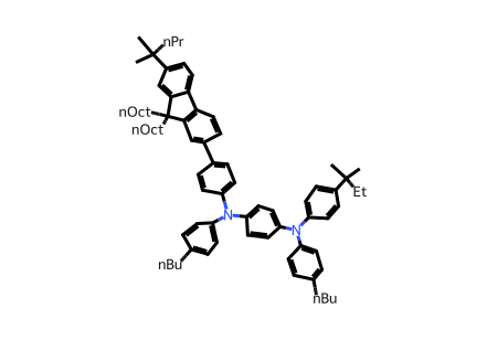 CCCCCCCCC1(CCCCCCCC)c2cc(-c3ccc(N(c4ccc(CCCC)cc4)c4ccc(N(c5ccc(CCCC)cc5)c5ccc(C(C)(C)CC)cc5)cc4)cc3)ccc2-c2ccc(C(C)(C)CCC)cc21